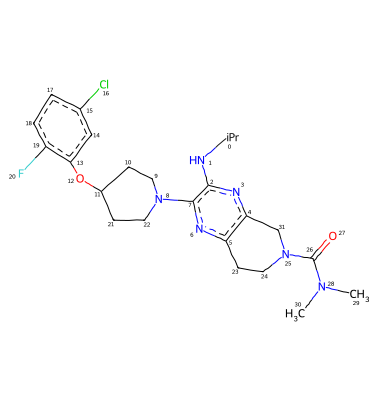 CC(C)Nc1nc2c(nc1N1CCC(Oc3cc(Cl)ccc3F)CC1)CCN(C(=O)N(C)C)C2